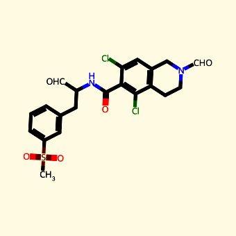 CS(=O)(=O)c1cccc(CC(C=O)NC(=O)c2c(Cl)cc3c(c2Cl)CCN(C=O)C3)c1